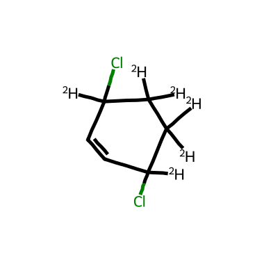 [2H]C1(Cl)C=CC([2H])(Cl)C([2H])([2H])C1([2H])[2H]